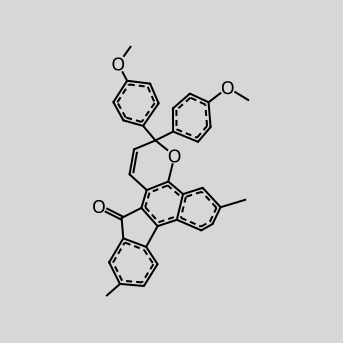 COc1ccc(C2(c3ccc(OC)cc3)C=Cc3c4c(c5ccc(C)cc5c3O2)-c2ccc(C)cc2C4=O)cc1